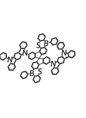 c1ccc(B2c3ccccc3Sc3c2ccc2c3-c3cc(-n4c5ccccc5c5cc6c(cc54)c4ccccc4n6-c4ccccc4)ccc3C23c2ccc(-n4c5ccccc5c5cc6c7ccccc7n(-c7ccccc7)c6cc54)cc2-c2c3ccc3c2Sc2ccccc2B3c2ccccc2)cc1